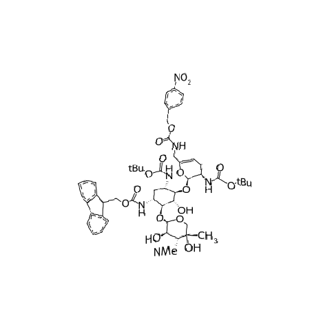 CN[C@@H]1[C@@H](O)[C@@H](O[C@@H]2[C@@H](O)[C@H](O[C@H]3OC(CNC(=O)OCc4ccc([N+](=O)[O-])cc4)=CC[C@H]3NC(=O)OC(C)(C)C)[C@@H](NC(=O)OC(C)(C)C)C[C@H]2NC(=O)OCC2c3ccccc3-c3ccccc32)OC[C@]1(C)O